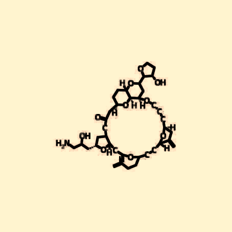 C=C1C[C@@H]2CCCO[C@@H]3CC(C4OCC[C@H]4O)O[C@H]4CC[C@H](CC(=O)CC5C[C@@H](CC(O)CN)O[C@H]5C[C@H]5OC(CCC5=C)CC[C@@H]1O2)O[C@@H]43